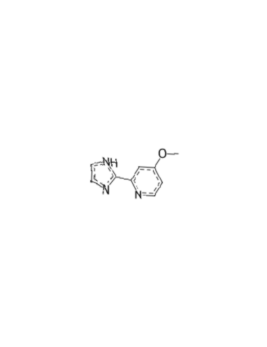 COc1ccnc(-c2ncc[nH]2)c1